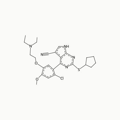 CCN(CC)CCOc1cc(-c2nc(SC3CCCC3)nc3[nH]cc(C#N)c23)c(Cl)cc1OC